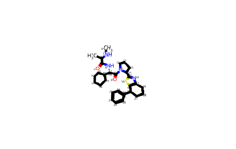 CNC(C)C(=O)N[C@H](C(=O)N1CCCC1c1nc2c(s1)C(c1ccccc1)CCC2)C1CCCCC1